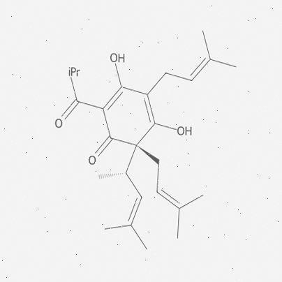 CC(C)=CCC1=C(O)[C@](CC=C(C)C)([C@@H](C)C=C(C)C)C(=O)C(C(=O)C(C)C)=C1O